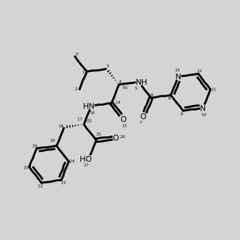 CC(C)C[C@H](NC(=O)c1cnccn1)C(=O)N[C@@H](Cc1ccccc1)C(=O)O